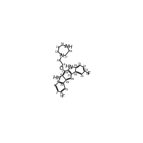 Fc1ccc2[nH]c3c(OCCN4CCCNCC4)c4[nH]c5ccc(F)cc5c4cc3c2c1